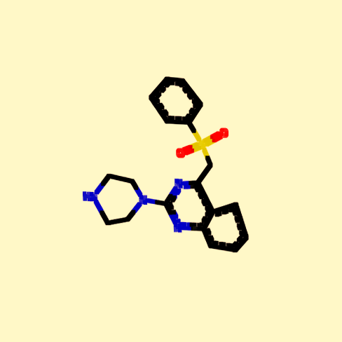 O=S(=O)(Cc1nc(N2CCNCC2)nc2ccccc12)c1ccccc1